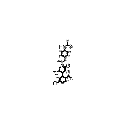 COc1cn(C(C)Cc2ccc(NC(C)=O)cc2)c(=O)cc1-c1cc(Cl)ccc1C(C)=O